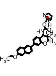 CCOc1ccc2cc(-c3ccc4c(c3)OCC(C)(C)C4NC(=O)O[C@H]3CN4CCC3CC4)ccc2c1